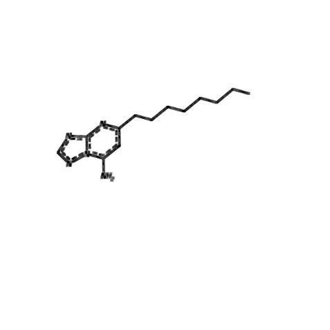 CCCCCCCCc1cc(N)n2ncnc2n1